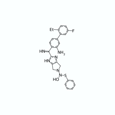 CCc1ccc(F)cc1-c1ccc(C(=N)c2nc3c([nH]2)CN(N(O)Sc2ccccc2)C3)c(N)c1